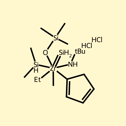 C[CH2][Zr]([CH3])(=[SiH2])([NH]C(C)(C)C)([O][Si](C)(C)C)([C]1=CC=CC1)[SiH](C)C.Cl.Cl